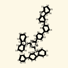 c1ccc(-c2ccc3c4ccccc4n(-c4nc(-c5ccc(-c6cccc(-c7ccc8sc9ccccc9c8c7)c6)cc5)nc(-n5c6ccccc6c6ccccc65)n4)c3c2)cc1